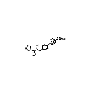 COC12CCC(c3ccc(CNC(=O)C4CCCC4)cc3)(CC1)CC2